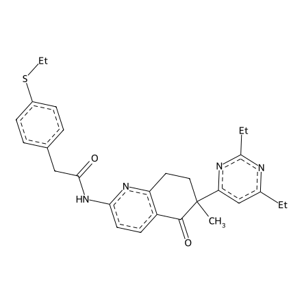 CCSc1ccc(CC(=O)Nc2ccc3c(n2)CCC(C)(c2cc(CC)nc(CC)n2)C3=O)cc1